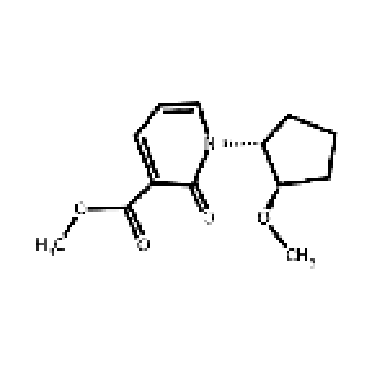 COC(=O)c1cccn([C@@H]2CCC[C@H]2OC)c1=O